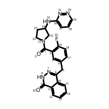 O=C(c1cc(Cc2n[nH]c(=O)c3ccccc23)ccc1F)N1CCC(Nc2cccnn2)C1